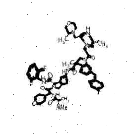 CN[C@@H](C)C(=O)N[C@H](C(=O)N1Cc2ccc(NC(=O)C3(C)CN(C(=O)CN4C[C@@H](C)NC[C@@H]4CN4CCOC[C@H]4C)c4cc(Cc5ccc(F)cc5)ccc43)cc2[C@H]1C(=O)Nc1c(F)cccc1F)C1CCOCC1